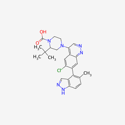 Cc1ccc2[nH]ncc2c1-c1cc2nncc(N3CCN(C(=O)O)C(C(C)(C)C)C3)c2cc1Cl